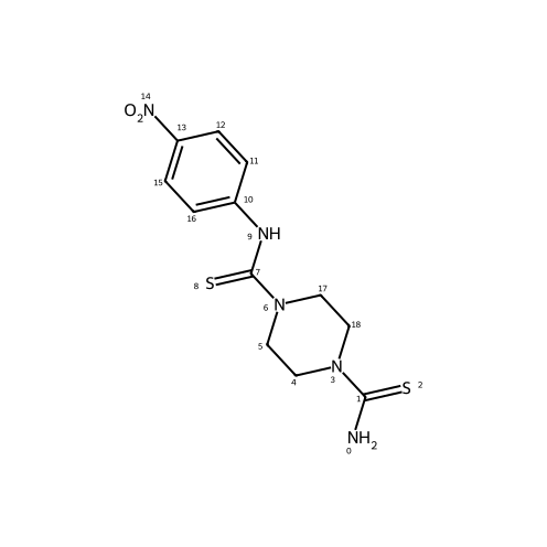 NC(=S)N1CCN(C(=S)Nc2ccc([N+](=O)[O-])cc2)CC1